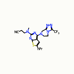 CCCc1cc2c(N3CCn4c(nnc4C(F)(F)F)C3)nc(N(C)CCC#N)nc2s1